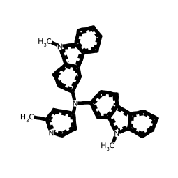 Cc1cc(N(c2ccc3c(c2)c2ccccc2n3C)c2ccc3c4ccccc4n(C)c3c2)ccn1